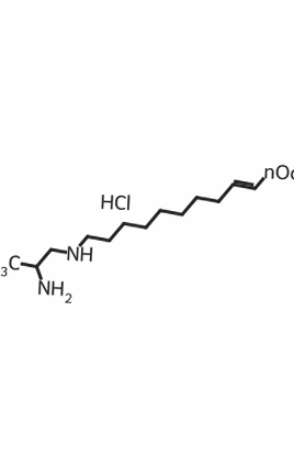 CCCCCCCCC=CCCCCCCCCNCC(C)N.Cl